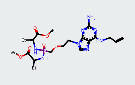 C=CCNc1nc(N)nc2c1ncn2CCOCP(=O)(NC(CC)C(=O)OC(C)C)NC(CC)C(=O)OC(C)C